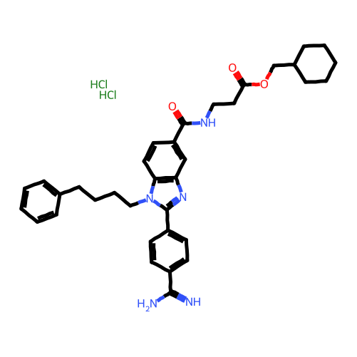 Cl.Cl.N=C(N)c1ccc(-c2nc3cc(C(=O)NCCC(=O)OCC4CCCCC4)ccc3n2CCCCc2ccccc2)cc1